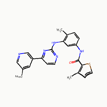 COc1cncc(-c2ccnc(Nc3cc(NC(=O)c4sccc4C)ccc3C)n2)c1